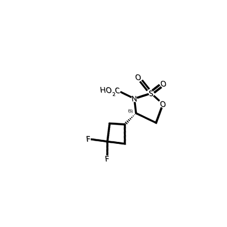 O=C(O)N1[C@@H](C2CC(F)(F)C2)COS1(=O)=O